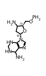 NC1NCNc2c1ncn2[C@H]1CC(N)[C@@H](COP)O1